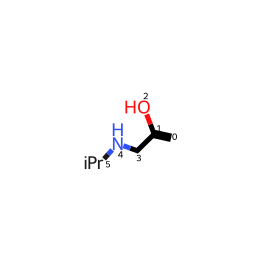 C=C(O)CNC(C)C